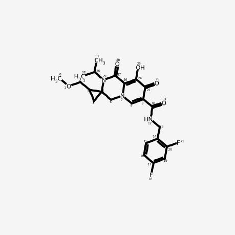 COCC1CC12Cn1cc(C(=O)NCc3ccc(F)cc3F)c(=O)c(O)c1C(=O)N2C(C)C